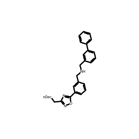 CCCCCCCCCCCc1noc(-c2cccc(CNCc3cccc(-c4ccccc4)c3)c2)n1